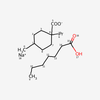 CC1CCC(C(=O)[O-])(C(C)C)CC1.CCCCCCC(=O)O.[Na+]